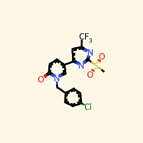 CS(=O)(=O)c1nc(-c2ccc(=O)n(Cc3ccc(Cl)cc3)c2)cc(C(F)(F)F)n1